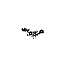 O=C(Nc1ccc(S(=O)(=O)NC(CC#Cc2ccccc2)C(=O)O)cc1)c1nc2ccccc2s1